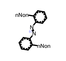 CCCCCCCCCc1ccccc1/N=N/c1ccccc1CCCCCCCCC